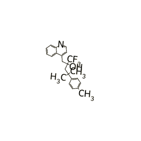 Cc1ccc(C(C)(C)CC(O)(Cc2ccnc3ccccc23)C(F)(F)F)cc1